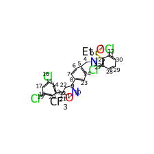 CCS(=O)(=NCc1ccc(C2=NOC(c3cc(Cl)cc(Cl)c3)(C(F)(F)F)C2)cc1)c1c(Cl)cccc1Cl